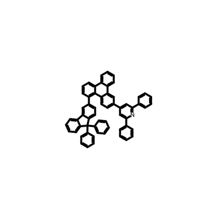 c1ccc(-c2cc(-c3ccc4c(c3)c3ccccc3c3cccc(-c5ccc6c(c5)-c5ccccc5C6(c5ccccc5)c5ccccc5)c34)cc(-c3ccccc3)n2)cc1